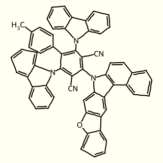 Cc1ccc(-c2c(-n3c4ccccc4c4ccccc43)c(C#N)c(-n3c4cc5oc6ccccc6c5cc4c4c5ccccc5ccc43)c(C#N)c2-n2c3ccccc3c3ccccc32)cc1